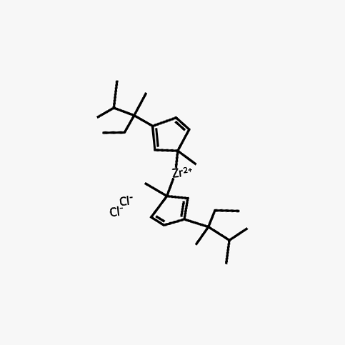 CCC(C)(C1=C[C](C)([Zr+2][C]2(C)C=CC(C(C)(CC)C(C)C)=C2)C=C1)C(C)C.[Cl-].[Cl-]